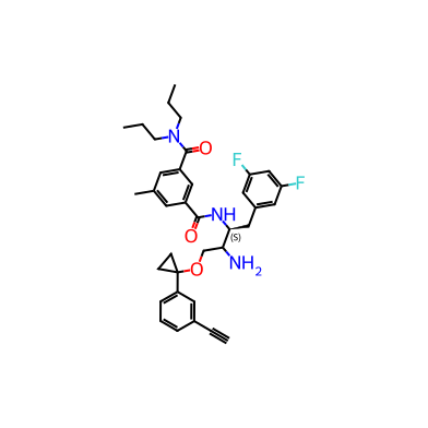 C#Cc1cccc(C2(OCC(N)[C@H](Cc3cc(F)cc(F)c3)NC(=O)c3cc(C)cc(C(=O)N(CCC)CCC)c3)CC2)c1